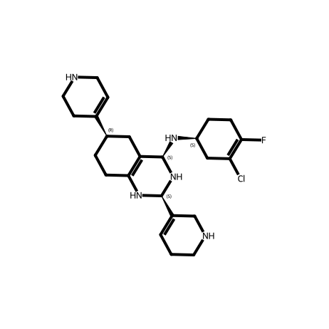 FC1=C(Cl)C[C@@H](N[C@H]2N[C@@H](C3=CCCNC3)NC3=C2C[C@H](C2=CCNCC2)CC3)CC1